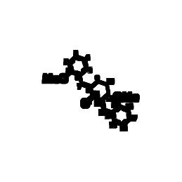 COc1ccccc1/C=C1\CCC/C(=C\c2ccccc2OC)C1=O